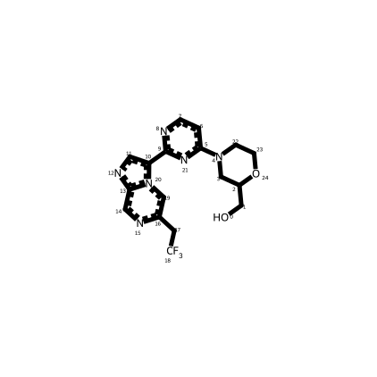 OCC1CN(c2ccnc(-c3cnc4cnc(CC(F)(F)F)cn34)n2)CCO1